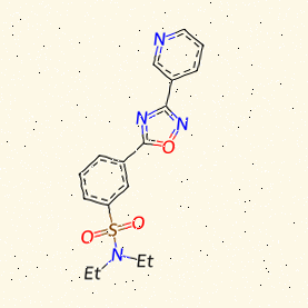 CCN(CC)S(=O)(=O)c1cccc(-c2nc(-c3cccnc3)no2)c1